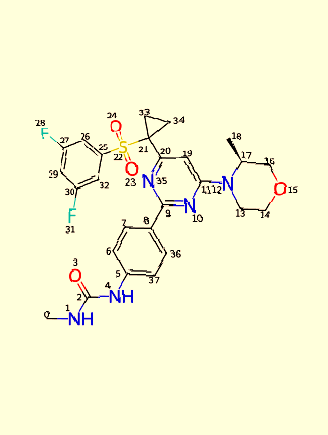 CNC(=O)Nc1ccc(-c2nc(N3CCOC[C@@H]3C)cc(C3(S(=O)(=O)c4cc(F)cc(F)c4)CC3)n2)cc1